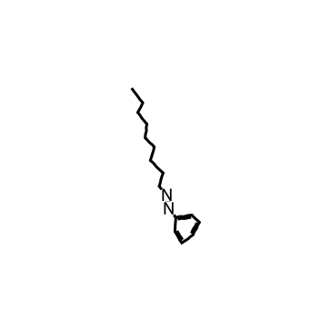 CCCCCCCCC/N=N/c1ccccc1